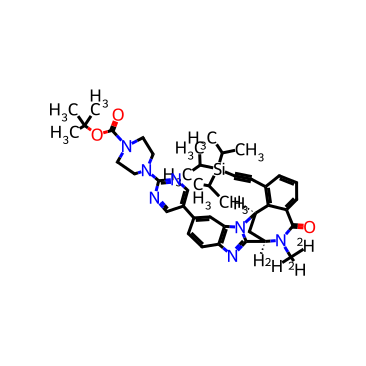 [2H]C([2H])([2H])N1C(=O)c2cccc(C#C[Si](C(C)C)(C(C)C)C(C)C)c2[C@H]2C[C@@H]1c1nc3ccc(-c4cnc(N5CCN(C(=O)OC(C)(C)C)CC5)nc4)cc3n12